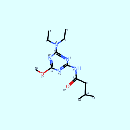 CCN(CC)c1nc(NC(=O)CC(C)C)nc(OC)n1